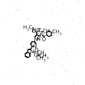 CCOC(=O)c1cn(-c2ccc(-c3cc4ccccc4n3C(=O)OC(C)(C)C)nc2)nc1N(C(=O)[C@H]1CC[C@H](C)CC1)C(C)C